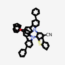 N#Cc1cc(-n2c3ccc(-c4ccccc4)cc3c3cc(-c4ccccc4)ccc32)c(-n2c3ccc(-c4ccccc4)cc3c3cc(-c4ccccc4)ccc32)c2sc3ccccc3c12